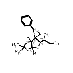 CC1(C)O[C@H]2O[C@H]([C@H](O)CO)[C@@](CO)(OCc3ccccc3)[C@H]2O1